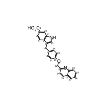 O=C(O)c1ccc2c(Cc3ccc(OCc4ccc5ccccc5n4)cc3)c[nH]c2c1